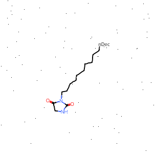 CCCCCCCCCCCCCCCCCCCCN1C(=O)CNC1=O